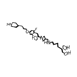 O=C(Cc1c(F)cc(OCCCC2CCNCC2)cc1F)N1CC(CNCCCC[C@H](O)CO)C1